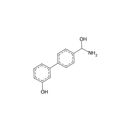 NC(O)c1ccc(-c2cccc(O)c2)cc1